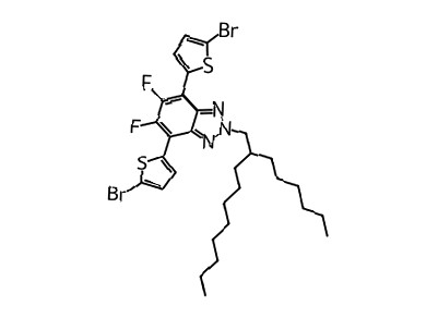 CCCCCCCCC(CCCCCC)Cn1nc2c(-c3ccc(Br)s3)c(F)c(F)c(-c3ccc(Br)s3)c2n1